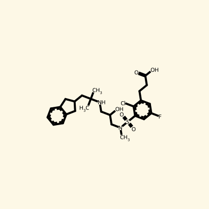 CN(CC(O)CNC(C)(C)CC1Cc2ccccc2C1)S(=O)(=O)c1cc(F)cc(CCC(=O)O)c1Cl